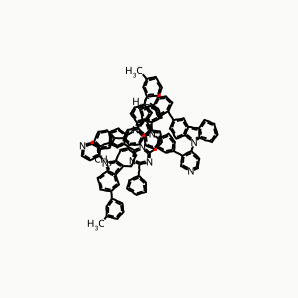 Cc1cccc(-c2ccc3c(c2)c2c(n3-c3ccncc3-c3ccc(-n4c5ccccc5c5cc(-c6cccc(C)c6)ccc54)c(-c4nc(-c5ccccc5)nc(-c5cc(-c6cnccc6-n6c7ccccc7c7cc(-c8cccc(C)c8)ccc76)ccc5-n5c6ccccc6c6cc(-c7cccc(C)c7)ccc65)n4)c3)C=CCC2)c1